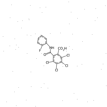 O=C(O)c1c(Cl)c(Cl)c(Cl)c(Cl)c1C(=O)Nc1ccccc1F